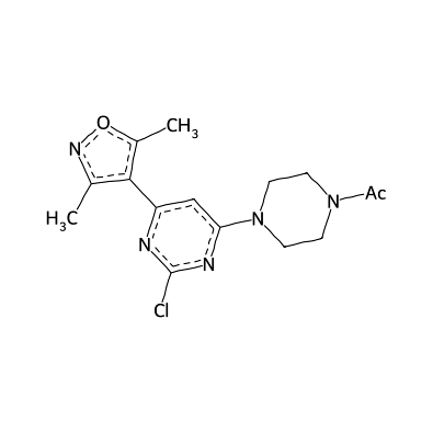 CC(=O)N1CCN(c2cc(-c3c(C)noc3C)nc(Cl)n2)CC1